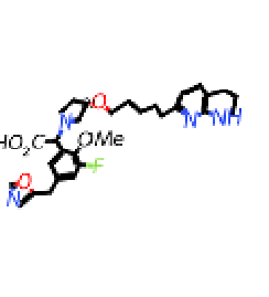 COc1c(F)cc(Cc2cnco2)cc1C(C(=O)O)N1CC[C@@H](OCCCCCc2ccc3c(n2)NCCC3)C1